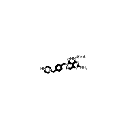 CCC[C@@H](C)Nc1nc(N)nc2cnn(Cc3ccc(CN4CCNCC4)cc3)c(=O)c12